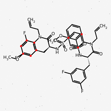 C=CCN(C(=O)[C@H](Cc1cc(F)cc(F)c1)NS(=O)(=O)c1ccccc1S(=O)(=O)N[C@@H](Cc1cc(F)cc(F)c1)C(=O)N(CC=C)c1ccc(OC)cc1)c1ccc(OC)cc1